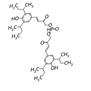 CCC(C)c1cc(C=CC(=O)CO[PH](=O)OCC(=O)C=Cc2cc(C(C)CC)c(O)c(C(C)CC)c2)cc(C(C)CC)c1O